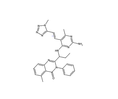 CCC(Nc1nc(N)nc(C)c1/C=C/c1nnnn1C)c1nc2cccc(C)c2c(=O)n1-c1ccccc1